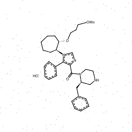 COCCCO[C@H]1CCCCC[C@@H]1n1cnc(C(=O)N2CCNC[C@H]2Cc2ccccc2)c1-c1ccccc1.Cl